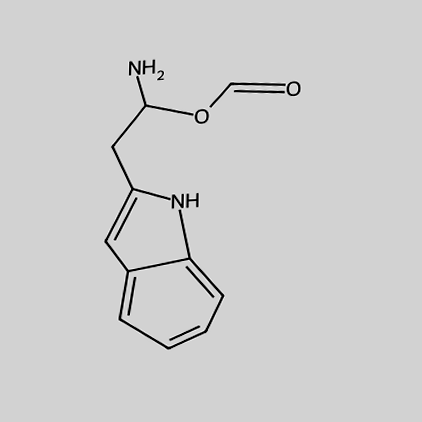 NC(Cc1cc2ccccc2[nH]1)OC=O